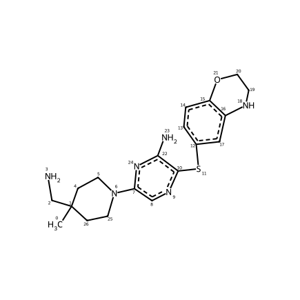 CC1(CN)CCN(c2cnc(Sc3ccc4c(c3)NCCO4)c(N)n2)CC1